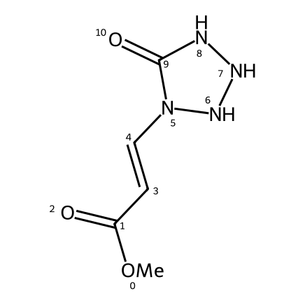 COC(=O)/C=C/N1NNNC1=O